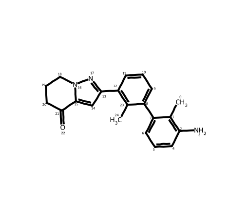 Cc1c(N)cccc1-c1cccc(-c2cc3n(n2)CCCC3=O)c1C